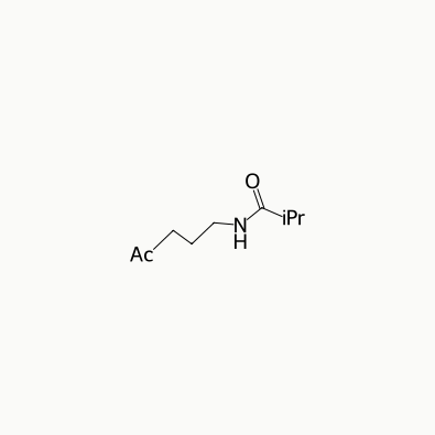 CC(=O)CCCNC(=O)C(C)C